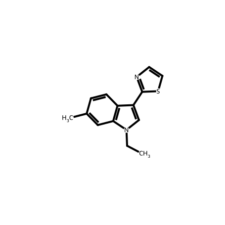 CCn1cc(-c2nccs2)c2ccc(C)cc21